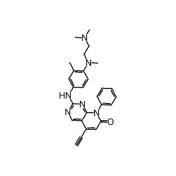 C#Cc1cc(=O)n(-c2ccccc2)c2nc(Nc3ccc(N(C)CCN(C)C)c(C)c3)ncc12